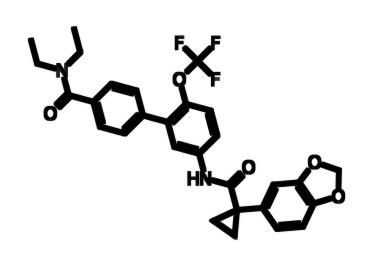 CCN(CC)C(=O)c1ccc(-c2cc(NC(=O)C3(c4ccc5c(c4)OCO5)CC3)ccc2OC(F)(F)F)cc1